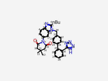 CCCCc1nc2ccc(N3C(=O)CC(C)(C)CC3=O)cc2n1Cc1ccc(-c2ccccc2-c2nnn[nH]2)cc1